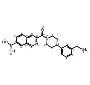 NCc1cccc(C2CCN(C(=O)c3cc4ccc(B(O)O)cc4cn3)CC2)c1